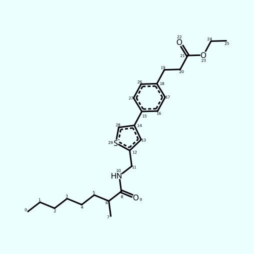 CCCCCCC(C)C(=O)NCc1cc(-c2ccc(CCC(=O)OCC)cc2)cs1